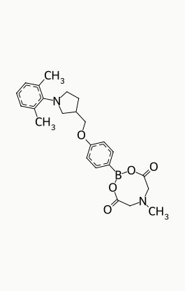 Cc1cccc(C)c1N1CCC(COc2ccc(B3OC(=O)CN(C)CC(=O)O3)cc2)C1